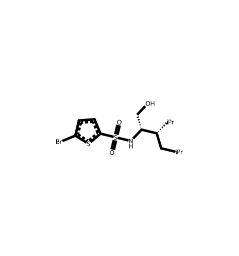 CC(C)C[C@@H](C(C)C)[C@@H](CO)NS(=O)(=O)c1ccc(Br)s1